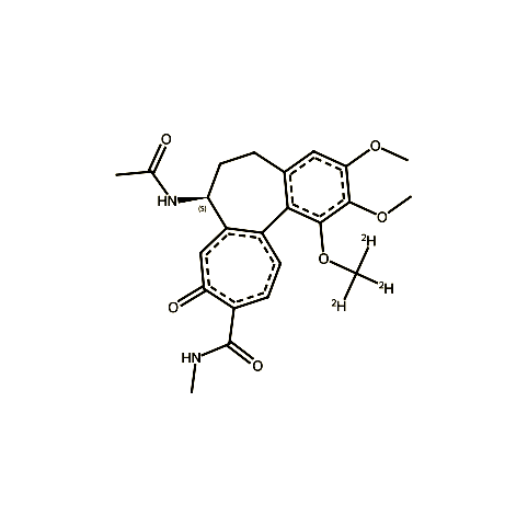 [2H]C([2H])([2H])Oc1c(OC)c(OC)cc2c1-c1ccc(C(=O)NC)c(=O)cc1[C@@H](NC(C)=O)CC2